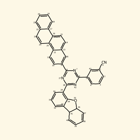 N#Cc1cccc(-c2nc(-c3ccc4c(ccc5c6ccccc6ccc45)c3)nc(-c3cccc4c3OC3C=CC=CC43)n2)c1